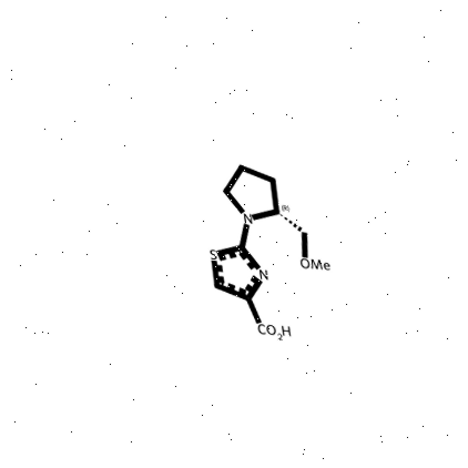 COC[C@H]1CCCN1c1nc(C(=O)O)cs1